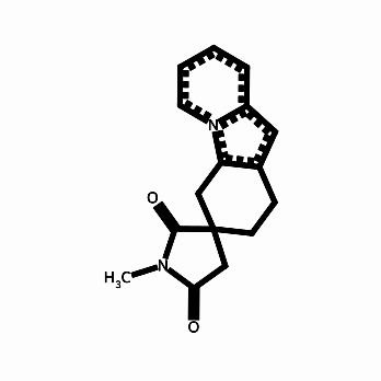 CN1C(=O)CC2(CCc3cc4ccccn4c3C2)C1=O